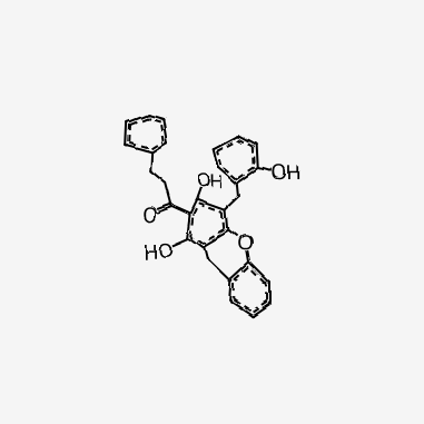 O=C(CCc1ccccc1)c1c(O)c(Cc2ccccc2O)c2c(c1O)Cc1ccccc1O2